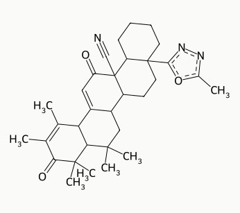 CC1=C(C)C2C3=CC(=O)C4(C#N)C(CCC5(c6nnc(C)o6)CCCCC54)C3CC(C)(C)C2C(C)(C)C1=O